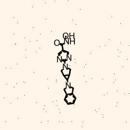 O=C(NO)c1cnc(N2CC3C(C2)C3N2Cc3ccccc3C2)nc1